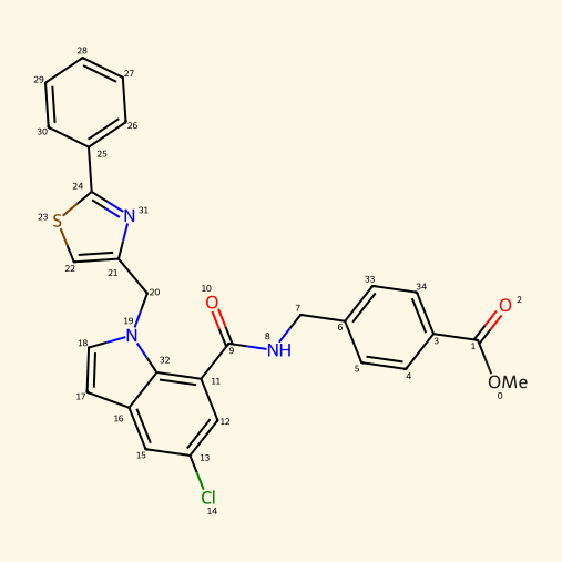 COC(=O)c1ccc(CNC(=O)c2cc(Cl)cc3ccn(Cc4csc(-c5ccccc5)n4)c23)cc1